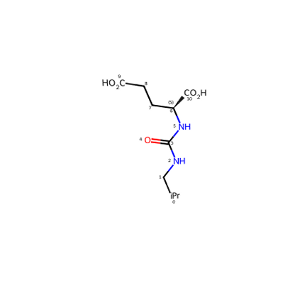 CC(C)CNC(=O)N[C@@H](CCC(=O)O)C(=O)O